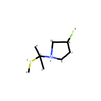 CSC(C)(C)N1CCC(F)C1